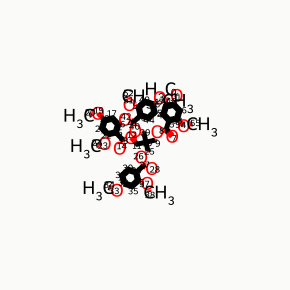 COc1ccc(C(=O)OCC(COC(=O)c2ccc(OC)cc2OC)(COC(=O)c2ccc(OC)cc2OC)COC(=O)c2ccc(OC)cc2OC)c(OC)c1